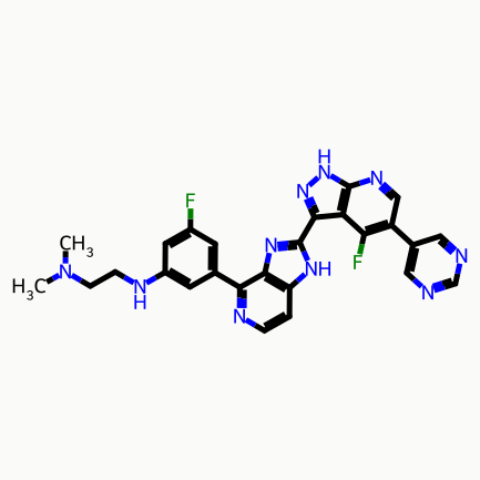 CN(C)CCNc1cc(F)cc(-c2nccc3[nH]c(-c4n[nH]c5ncc(-c6cncnc6)c(F)c45)nc23)c1